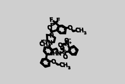 CCOc1ccc(C(=O)N2CCN(c3ccc(-c4ccccc4OCC)cc3CNS(=O)(=O)c3ccccc3[N+](=O)[O-])[C@H](CC)C2)c(C(F)(F)F)c1